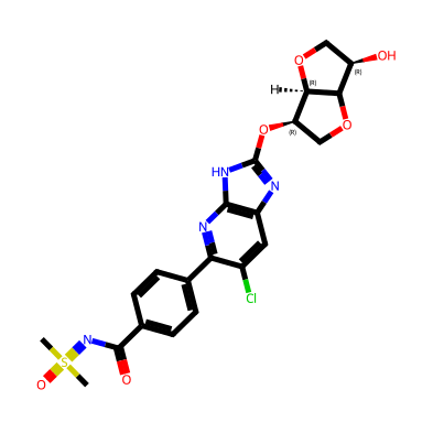 CS(C)(=O)=NC(=O)c1ccc(-c2nc3[nH]c(O[C@@H]4COC5[C@H](O)CO[C@@H]54)nc3cc2Cl)cc1